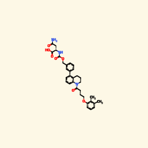 Cc1cccc(OCCCC(=O)N2CCCc3c(-c4cccc(COC(=O)N[C@@H](CC(N)=O)C(=O)O)c4)cccc32)c1C